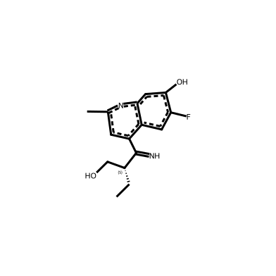 CC[C@H](CO)C(=N)c1cc(C)nc2cc(O)c(F)cc12